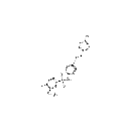 Cc1ccc(S(=O)(=O)Nc2ccc(SCc3ccc(C(C)C)cc3)cc2)cc1C(=O)O